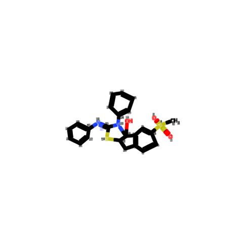 CS(=O)(=O)c1ccc2c(c1)C1(O)C(C2)S/C(=N\c2ccccc2)N1c1ccccc1